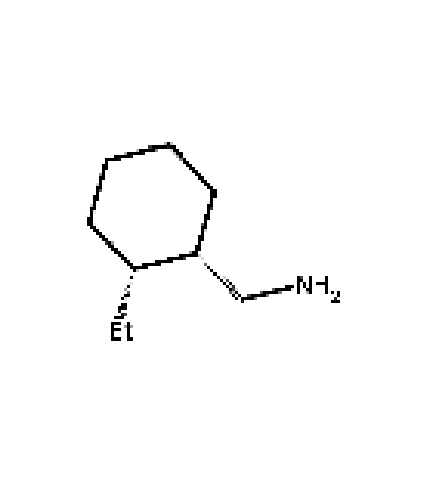 CC[C@@H]1CCCC[C@@H]1CN